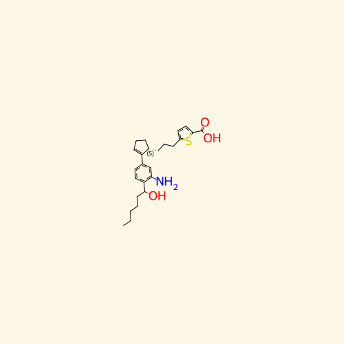 CCCCCC(O)c1ccc(C2=CCC[C@@H]2CCCc2ccc(C(=O)O)s2)cc1N